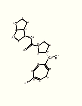 O=C(O[C@H]1COC2OCCC21)N1CC[C@H]([S+]([O-])C2=CCC=C(F)C=C2)C1